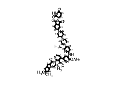 COc1ncc(-c2ccnc(N3CCn4c(cc5c4CC(C)(C)C5)C3=O)c2[C@@H](C)O)cc1Nc1ccc(N2CCN(C3CCN(c4ccc5c(c4)C(=O)N([C@H]4CCC(=O)NC4=O)C5=O)CC3)C[C@@H]2C)cn1